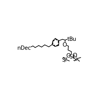 [CH2]C(C)(C)C(Cc1ccc(CCCCCCCCCCCCCCCC)cc1)OCCC[Si](C)(O[Si](C)(C)C)O[Si](C)(C)C